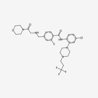 O=C(Nc1ccc(Cl)cc1N1CCN(CCC(F)(F)F)CC1)c1ccc(CNCC(=O)N2CCOCC2)cc1F